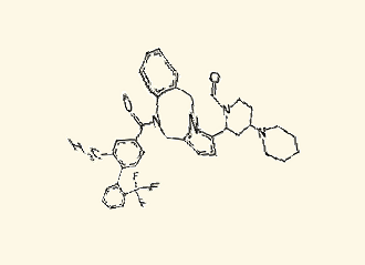 Cc1cc(C(=O)N2Cc3ccc(C4CC(N5CCCCC5)CCN4C=O)n3Cc3ccccc32)ccc1-c1ccccc1C(F)(F)F